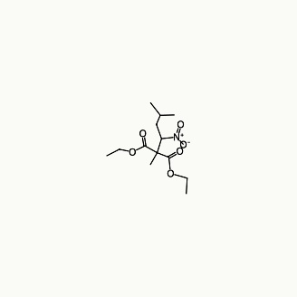 CCOC(=O)C(C)(C(=O)OCC)C(CC(C)C)[N+](=O)[O-]